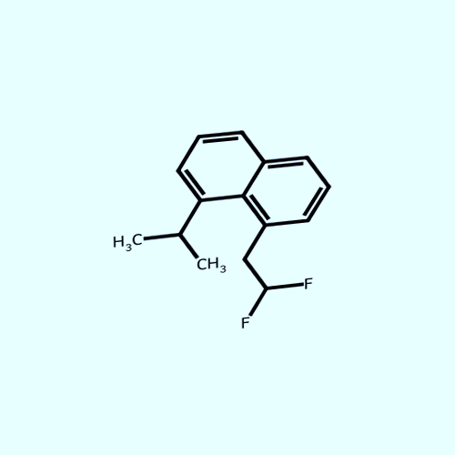 CC(C)c1cccc2cccc(CC(F)F)c12